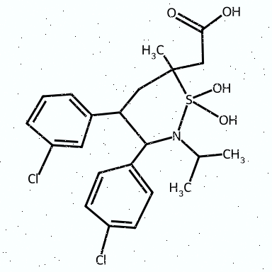 CC(C)N1C(c2ccc(Cl)cc2)C(c2cccc(Cl)c2)CC(C)(CC(=O)O)S1(O)O